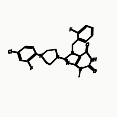 Cn1c(=O)[nH]c(=O)c2c1nc(N1CCN(c3ccc(Cl)cc3F)CC1)n2Cc1ccccc1F